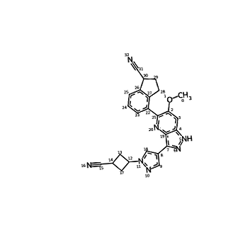 COc1cc2[nH]nc(-c3cnn(C4CC(C#N)C4)c3)c2nc1-c1cccc2c1CCC2C#N